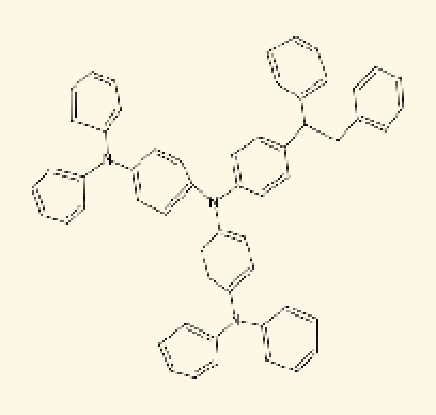 C1=C(N(c2ccccc2)c2ccccc2)CCC(N(c2ccc(C(Cc3ccccc3)c3ccccc3)cc2)c2ccc(N(c3ccccc3)c3ccccc3)cc2)=C1